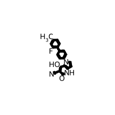 Cc1ccc(-c2ccc(-n3ccc4[nH]c(=O)c(C#N)c(O)c43)cc2)c(F)c1